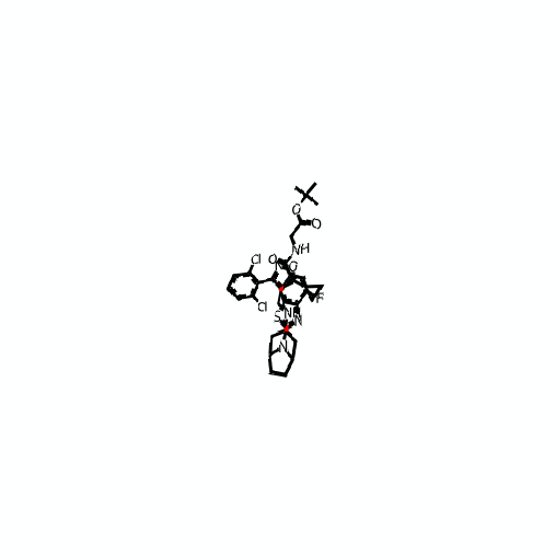 CC(C)(C)OC(=O)CNC(=O)c1cc(F)c2nc(N3C4CCC3CC(NCc3c(-c5c(Cl)cccc5Cl)noc3C3CC3)C4)sc2c1